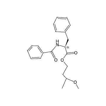 COC(C)CCOC(=O)[C@H](Cc1ccccc1)NC(=O)c1ccccc1